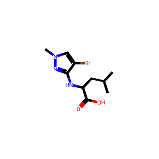 CC(C)CC(Nc1nn(C)cc1Br)C(=O)O